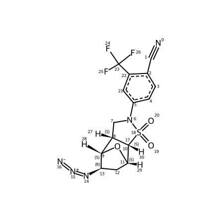 N#Cc1ccc(N2C[C@H]3[C@@H]4O[C@@H](C[C@H]4N=[N+]=[N-])[C@H]3S2(=O)=O)cc1C(F)(F)F